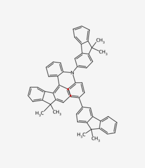 CC1(C)c2ccccc2-c2cc(-c3ccc(N(c4ccc5c(c4)-c4ccccc4C5(C)C)c4ccccc4-c4cccc5c4-c4ccccc4C5(C)C)cc3)ccc21